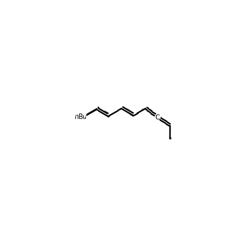 CC=C=CC=CC=CCCCC